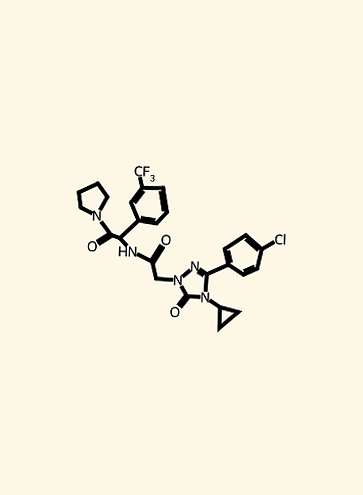 O=C(Cn1nc(-c2ccc(Cl)cc2)n(C2CC2)c1=O)NC(C(=O)N1CCCC1)c1cccc(C(F)(F)F)c1